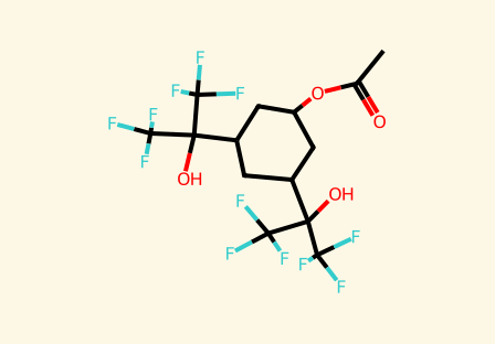 CC(=O)OC1CC(C(O)(C(F)(F)F)C(F)(F)F)CC(C(O)(C(F)(F)F)C(F)(F)F)C1